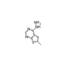 Cc1cc2c(NN)ncnc2s1